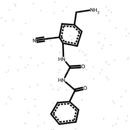 N#Cc1cc(CN)ccc1NC(=O)NC(=O)c1ccccc1